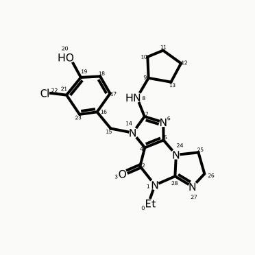 CCN1C(=O)c2c(nc(NC3CCCC3)n2Cc2ccc(O)c(Cl)c2)N2CCN=C12